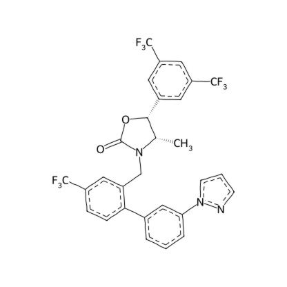 C[C@H]1[C@@H](c2cc(C(F)(F)F)cc(C(F)(F)F)c2)OC(=O)N1Cc1cc(C(F)(F)F)ccc1-c1cccc(-n2cccn2)c1